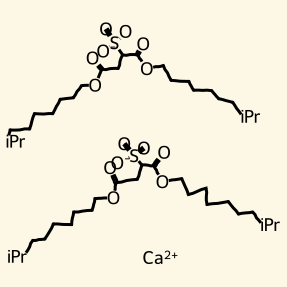 CC(C)CCCCCCCOC(=O)CC(C(=O)OCCCCCCCC(C)C)S(=O)(=O)[O-].CC(C)CCCCCCCOC(=O)CC(C(=O)OCCCCCCCC(C)C)S(=O)(=O)[O-].[Ca+2]